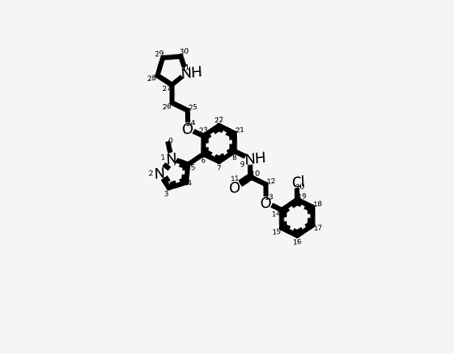 Cn1nccc1-c1cc(NC(=O)COc2ccccc2Cl)ccc1OCCC1CCCN1